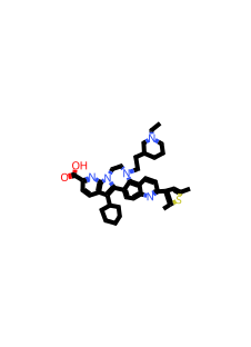 CCN1CCCC(CCN2CCn3c(c(C4CCCCC4)c4ccc(C(=O)O)nc43)-c3ccc4nc(-c5cc(C)sc5C)ccc4c32)C1